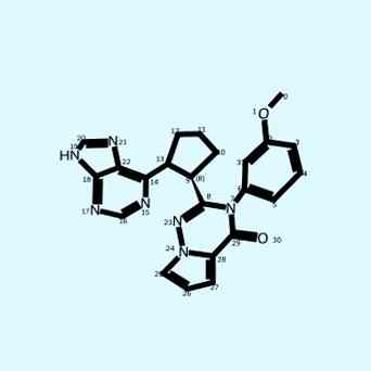 COc1cccc(-n2c([C@@H]3CCCC3c3ncnc4[nH]cnc34)nn3cccc3c2=O)c1